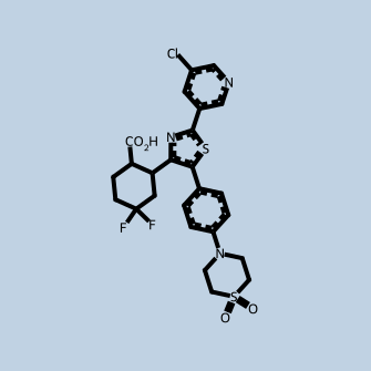 O=C(O)C1CCC(F)(F)CC1c1nc(-c2cncc(Cl)c2)sc1-c1ccc(N2CCS(=O)(=O)CC2)cc1